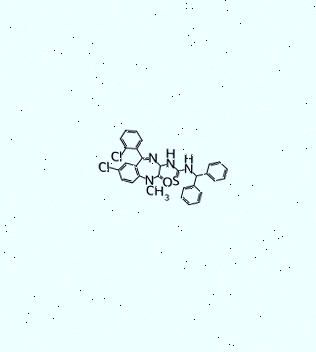 CN1C(=O)C(NC(=S)NC(c2ccccc2)c2ccccc2)N=C(c2ccccc2Cl)c2cc(Cl)ccc21